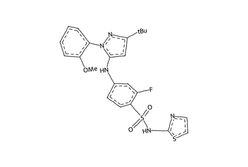 COc1ccccc1-n1nc(C(C)(C)C)cc1Nc1ccc(S(=O)(=O)Nc2nccs2)c(F)c1